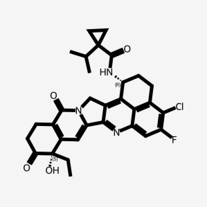 CC[C@@]1(O)C(=O)CCc2c1cc1n(c2=O)Cc2c-1nc1cc(F)c(Cl)c3c1c2[C@H](NC(=O)C1(C(C)C)CC1)CC3